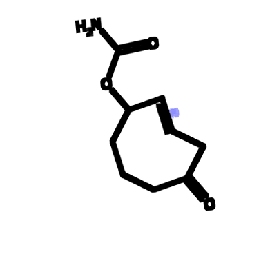 NC(=O)OC1/C=C/CC(=O)CCC1